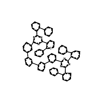 c1ccc(-c2ccccc2-c2nc(-c3cccc(-c4cccc(-c5cccc(-c6cccc(-c7nc(-c8ccccc8-c8ccccc8)nc(-c8ccccc8-c8ccccc8)n7)c6)c5)c4)c3)nc(-c3ccccc3-c3ccccc3)n2)cc1